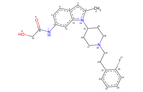 Cc1cc2ccc(NC(=O)CO)cc2n1C1CCN(CCc2ccccc2F)CC1